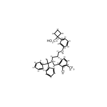 CC(c1ccccc1)(c1ccccc1)N(CCCOc1cccc(C2(C(=O)O)CCC2)c1)Cc1cccc(C(F)(F)F)c1Cl